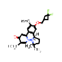 COc1cc2c(cc1OCC1CC(F)(F)C1)[C@H]1CCC(C)(C)N1n1cc(C(=O)O)c(=O)cc1-2